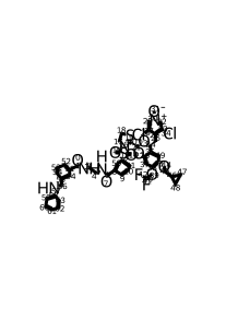 O=C(NCCNC(=O)c1cccc(S(=O)(=O)N2CCS[C@H]2C(=O)O[C@@H](Cc2c(Cl)c[n+]([O-])cc2Cl)c2ccc(OC(F)F)c(OCC3CC3)c2)c1)c1cccc(CNc2ccccc2)c1